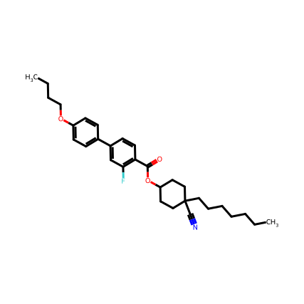 CCCCCCCC1(C#N)CCC(OC(=O)c2ccc(-c3ccc(OCCCC)cc3)cc2F)CC1